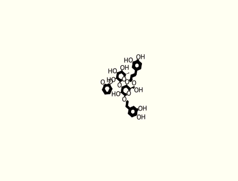 C[C@@H]1O[C@@H](O[C@@H]2[C@@H](O)[C@H](OCCc3ccc(O)c(O)c3)O[C@H](CO)[C@H]2OC(=O)/C=C/c2ccc(O)c(O)c2)[C@H](O)[C@H](O)[C@H]1O.O=C1C=CC=CC1=O